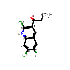 O=C(O)CC(=O)c1cc2cc(F)c(Cl)cc2nc1Cl